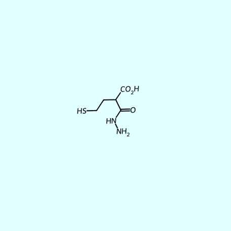 NNC(=O)C(CCS)C(=O)O